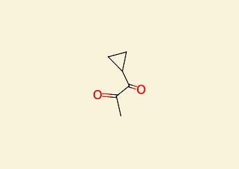 CC(=O)C(=O)C1CC1